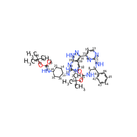 CC(C)(C)OC(=O)NCC(Nc1nccc(-c2n[nH]c3nc(N[C@H]4CC[C@H](NC(=O)OC(C)(C)C)CC4)ncc23)n1)c1ccccc1